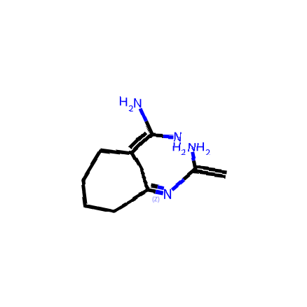 C=C(N)/N=C1/CCCCC1=C(N)N